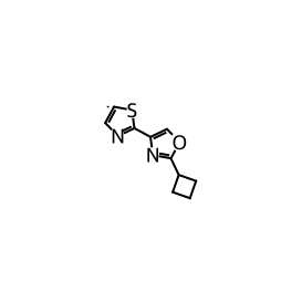 [c]1cnc(-c2coc(C3CCC3)n2)s1